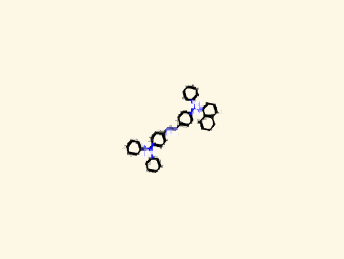 C1=Cc2c(cccc2N(c2ccccc2)c2ccc(/C=C/c3ccc(N(c4ccccc4)c4ccccc4)cc3)cc2)CC1